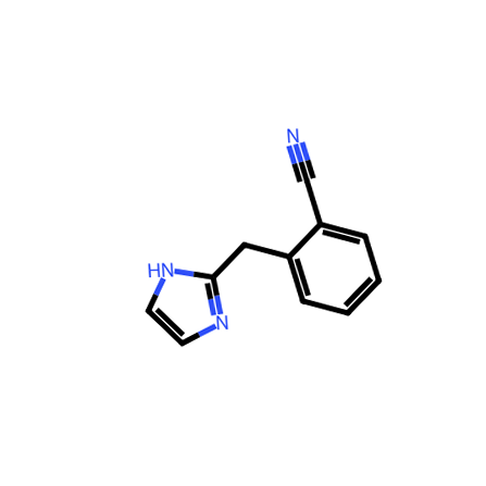 N#Cc1ccccc1Cc1ncc[nH]1